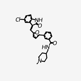 CN1CCC(CNC(=O)c2cccc(-c3ccc(C=C4C(=O)Nc5ccc(Cl)cc54)o3)c2)CC1